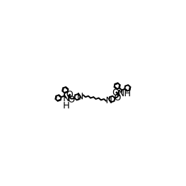 O=C(NC(C1=CC=CCC1)c1ccccc1)OC1CCN(CCCCCCCCCCN2CCC(OC(=O)NC(c3ccccc3)c3ccccc3)CC2)CC1